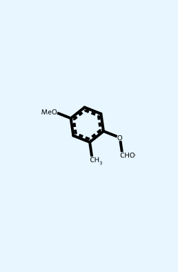 COc1ccc(O[C]=O)c(C)c1